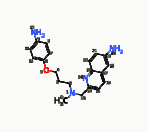 CN(CCCOc1ccc(N)cc1)Cc1ccc2cc(N)ccc2n1